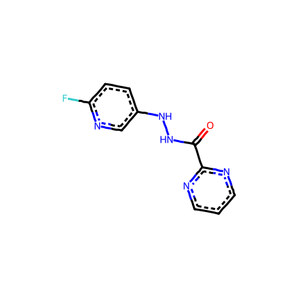 O=C(NNc1ccc(F)nc1)c1ncccn1